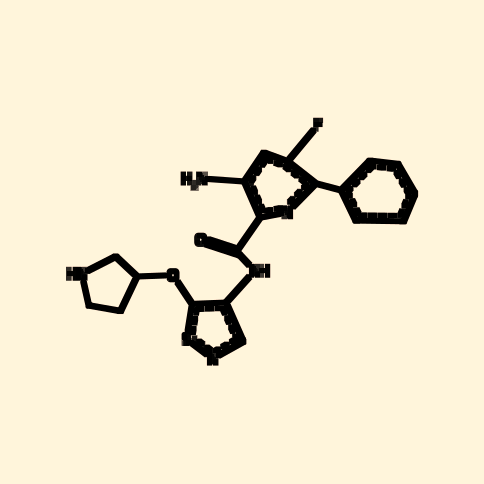 Nc1cc(F)c(-c2ccccc2)nc1C(=O)Nc1cnsc1OC1CCNC1